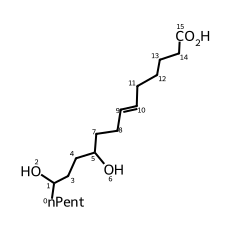 CCCCCC(O)CCC(O)CCC=CCCCCC(=O)O